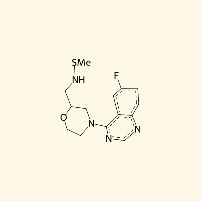 CSNCC1CN(c2ncnc3ccc(F)cc23)CCO1